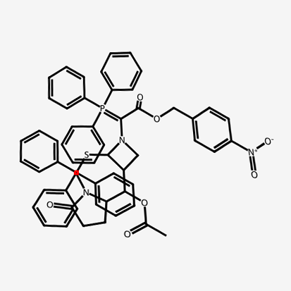 CC(=O)OC(C1CN(C(C(=O)OCc2ccc([N+](=O)[O-])cc2)=P(c2ccccc2)(c2ccccc2)c2ccccc2)C1SC(c1ccccc1)(c1ccccc1)c1ccccc1)C1CCC(=O)N1C